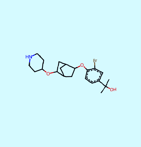 CC(C)(O)c1ccc(OC2CC3CC2CC3OC2CCNCC2)c(Br)c1